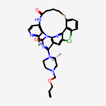 C=CCOCN1CCN(c2nc(=O)n3c4nc(c(Cl)cc24)-c2c(F)cccc2SCCCC(=O)Nc2ccnc(C(C)C)c2-3)[C@H](C)C1